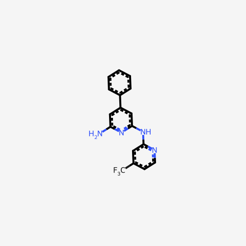 Nc1cc(-c2ccccc2)cc(Nc2cc(C(F)(F)F)ccn2)n1